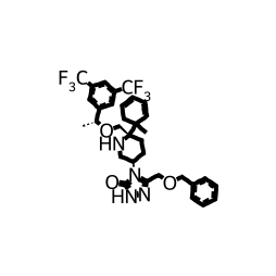 C[C@@H](OC[C@@]1(C2(C)C=CC=CC2)CC[C@H](n2c(COCc3ccccc3)n[nH]c2=O)CN1)c1cc(C(F)(F)F)cc(C(F)(F)F)c1